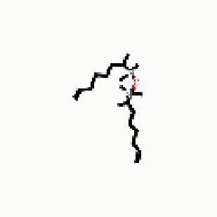 C=CCCCCC(C)[Si](C)(C)O[Si](C)(C)C(C)CCCCC=C